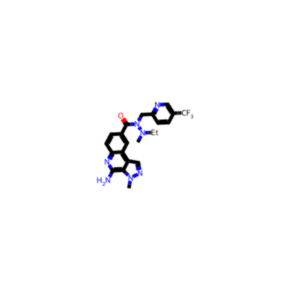 CCN(C)N(Cc1ccc(C(F)(F)F)cn1)C(=O)c1ccc2nc(N)c3c(cnn3C)c2c1